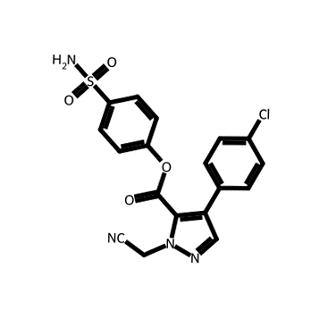 N#CCn1ncc(-c2ccc(Cl)cc2)c1C(=O)Oc1ccc(S(N)(=O)=O)cc1